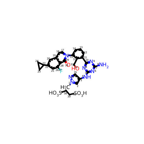 Cn1cc(Nc2nc(N)nc(-c3cccc(-n4ccc5cc(C6CC6)cc(F)c5c4=O)c3CO)n2)cn1.O=S(=O)(O)CCS(=O)(=O)O